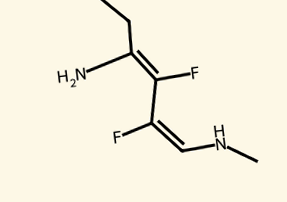 CC/C(N)=C(F)/C(F)=C\NC